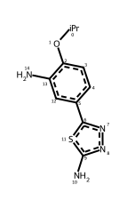 CC(C)Oc1ccc(-c2nnc(N)s2)cc1N